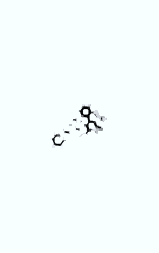 CC1=C(OC(=O)OCCN2CCCCC2)C(c2ccccc2OC(F)F)C([N+](=O)[O-])=C(C)N1